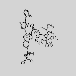 CC(C)C[C@@H](C(=O)N[C@@H](Cc1ccc(NO[SH](=O)=O)cc1)c1csc(-c2cccs2)n1)C(=O)OC(C)(C)C